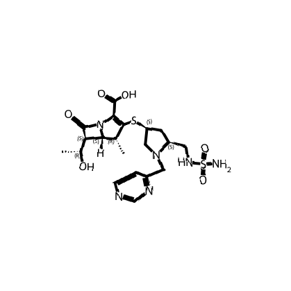 C[C@@H](O)[C@H]1C(=O)N2C(C(=O)O)=C(S[C@H]3C[C@@H](CNS(N)(=O)=O)N(Cc4ccncn4)C3)[C@H](C)[C@H]12